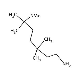 CNC(C)(C)CCC(C)(C)CCN